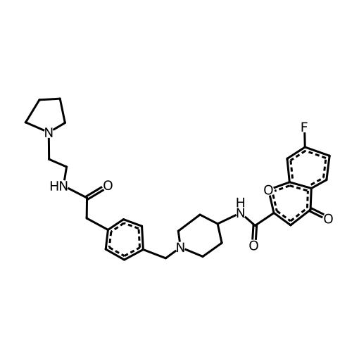 O=C(Cc1ccc(CN2CCC(NC(=O)c3cc(=O)c4ccc(F)cc4o3)CC2)cc1)NCCN1CCCC1